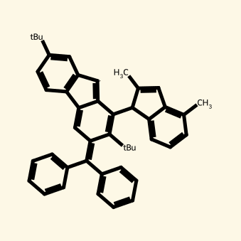 CC1=Cc2c(C)cccc2C1c1c(C(C)(C)C)c(=C(c2ccccc2)c2ccccc2)cc2c1=[C]c1cc(C(C)(C)C)ccc1-2